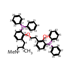 CNCC(C)Cc1cccc(P(c2ccccc2)c2ccccc2)c1OCCc1cccc(P(c2ccccc2)c2ccccc2)c1O